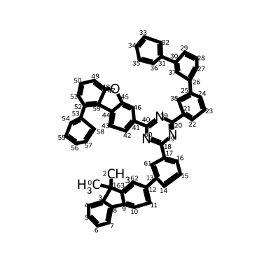 CC1(C)c2ccccc2-c2ccc(-c3cccc(-c4nc(-c5cccc(-c6cccc(-c7ccccc7)c6)c5)nc(-c5ccc6c(c5)oc5cccc(-c7ccccc7)c56)n4)c3)cc21